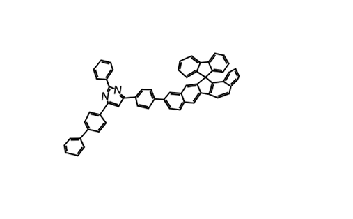 c1ccc(-c2ccc(-c3cc(-c4ccc(-c5ccc6cc7c(cc6c5)C5(c6ccccc6-c6ccccc65)c5c-7ccc6ccccc56)cc4)nc(-c4ccccc4)n3)cc2)cc1